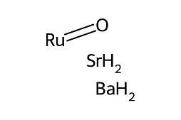 [BaH2].[O]=[Ru].[SrH2]